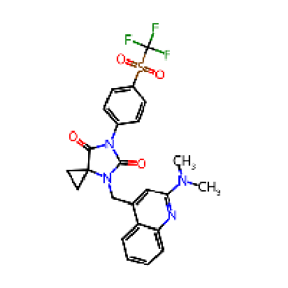 CN(C)c1cc(CN2C(=O)N(c3ccc(S(=O)(=O)C(F)(F)F)cc3)C(=O)C23CC3)c2ccccc2n1